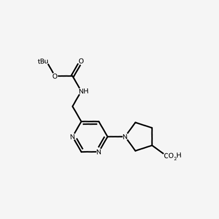 CC(C)(C)OC(=O)NCc1cc(N2CCC(C(=O)O)C2)ncn1